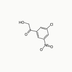 O=C(CO)c1cc(Cl)cc([N+](=O)[O-])c1